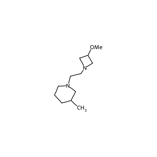 COC1CN(CCN2CCCC(C)C2)C1